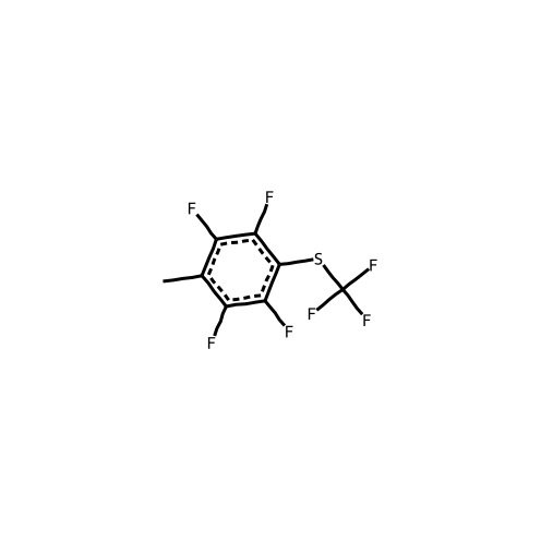 Cc1c(F)c(F)c(SC(F)(F)F)c(F)c1F